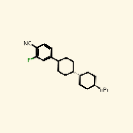 CCC[C@H]1CC[C@H](C2CCC(c3ccc(C#N)c(F)c3)CC2)CC1